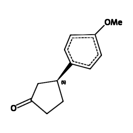 COc1ccc([C@H]2CCC(=O)C2)cc1